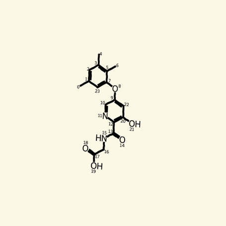 Cc1cc(C)c(C)c(Oc2cnc(C(=O)NCC(=O)O)c(O)c2)c1